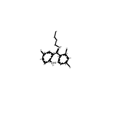 CCCCN=C(c1ccc(C)cc1C)c1cc(C)ccc1O